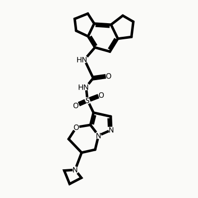 O=C(Nc1cc2c(c3c1CCC3)CCC2)NS(=O)(=O)c1cnn2c1OCC(N1CCC1)C2